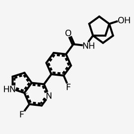 O=C(NC12CCC(O)(CC1)C2)c1ccc(-c2ncc(F)c3[nH]ccc23)c(F)c1